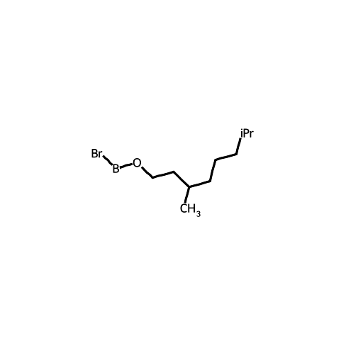 CC(C)CCCC(C)CCO[B]Br